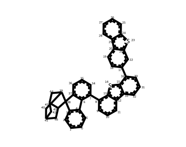 c1ccc2c(c1)-c1c(-c3cccc4c3sc3c(-c5ccc6c(c5)sc5ccccc56)cccc34)cccc1C21C2CC3CC(C2)C1C3